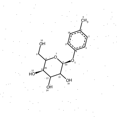 Cc1ccc(O[C@@H]2OC(CO)[C@H](O)C(O)C2O)cc1